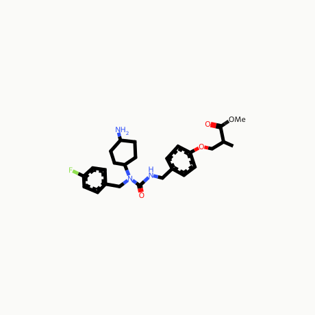 COC(=O)C(C)COc1ccc(CNC(=O)N(Cc2ccc(F)cc2)C2CCC(N)CC2)cc1